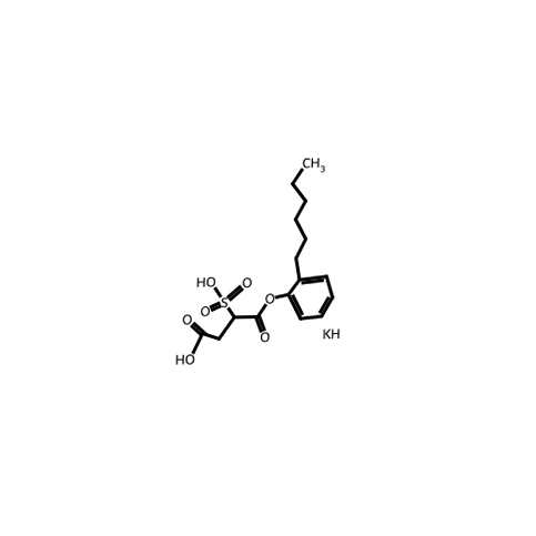 CCCCCCc1ccccc1OC(=O)C(CC(=O)O)S(=O)(=O)O.[KH]